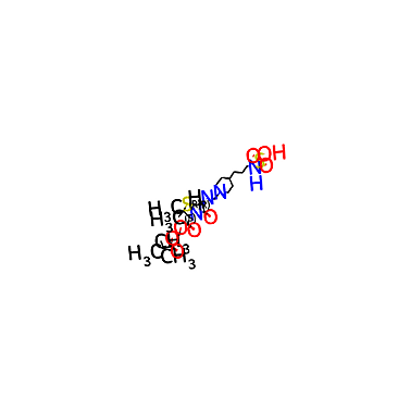 CC(C)(C)C(=O)OCOC(=O)[C@@H]1N2C(=O)[C@@H](N=CN3CCC(CCCNS(=O)(=O)O)CC3)[C@H]2SC1(C)C